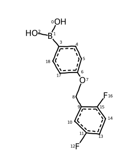 OB(O)c1ccc(OCc2cc(F)ccc2F)cc1